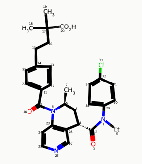 CCN(C(=O)[C@H]1C[C@H](C)N(C(=O)c2ccc(CCC(C)(C)C(=O)O)cc2)c2ccncc21)c1ccc(Cl)cc1